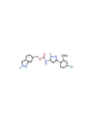 COc1cc(Cl)ccc1-c1cc(NC(=O)OCc2ccc3cn(C)nc3c2)n(C)n1